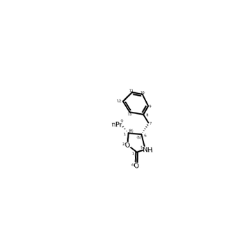 CCC[C@H]1OC(=O)N[C@H]1Cc1ccccc1